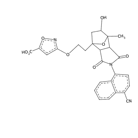 CC12OC(CCOc3cc(C(=O)O)on3)(CC1O)C1C(=O)N(c3ccc(C#N)c4ccccc34)C(=O)C12